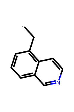 [CH2]Cc1cccc2cnccc12